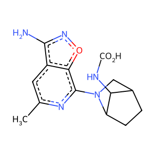 Cc1cc2c(N)noc2c(N2CC3CCC2C3NC(=O)O)n1